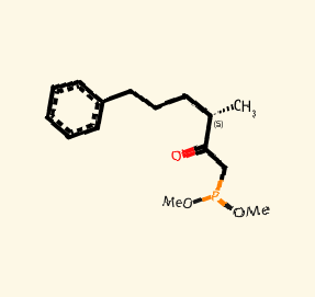 COP(CC(=O)[C@@H](C)CCCc1ccccc1)OC